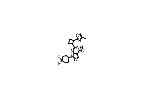 Cc1coc(C2CCC2c2nc3c(cnn3C3CCC(F)(F)CC3)c(=O)[nH]2)n1